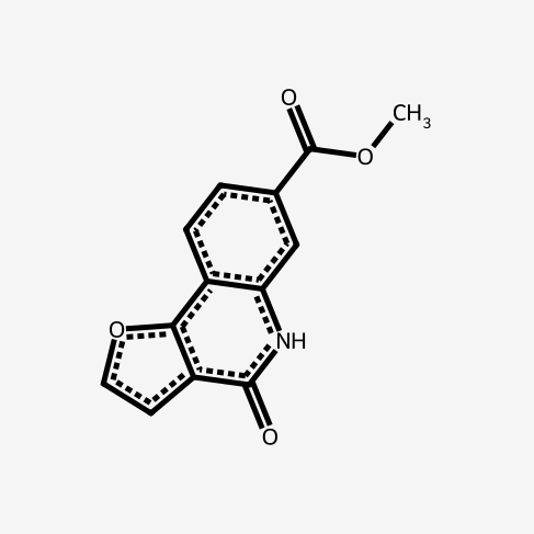 COC(=O)c1ccc2c(c1)[nH]c(=O)c1ccoc12